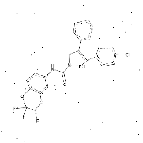 O=C(Nc1ccc2c(c1)OC(F)C(F)(F)O2)N1CC(c2ccccc2)=C(c2ccc(Cl)cc2)N1